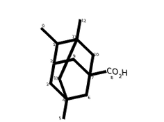 CC1C2CC3(C)CC(C(=O)O)(C2)CC1(C)C3